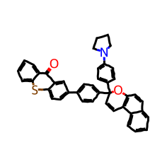 O=c1c2ccccc2sc2ccc(-c3ccc(C4(c5ccc(N6CCCC6)cc5)C=Cc5c(ccc6ccccc56)O4)cc3)cc12